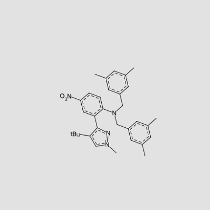 Cc1cc(C)cc(CN(Cc2cc(C)cc(C)c2)c2ccc([N+](=O)[O-])cc2-c2nn(C)cc2C(C)(C)C)c1